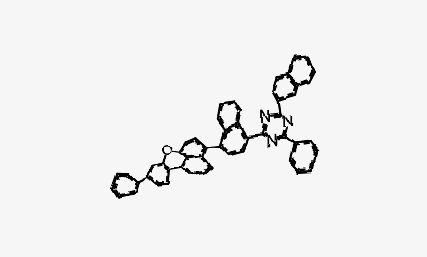 c1ccc(-c2ccc3c(c2)Oc2ccc(-c4ccc(-c5nc(-c6ccccc6)nc(-c6ccc7ccccc7c6)n5)c5ccccc45)c4cccc-3c24)cc1